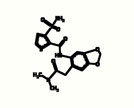 CN(C)C(=O)Cc1cc2c(cc1NC(=O)c1sccc1S(N)(=O)=O)OCO2